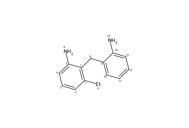 CCc1cccc(N)c1Cc1ccccc1N